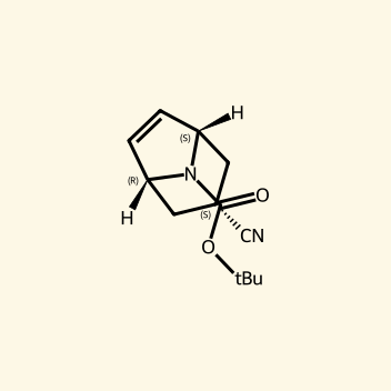 CC(C)(C)OC(=O)N1[C@@H]2C=C[C@H]1C[C@@H](C#N)C2